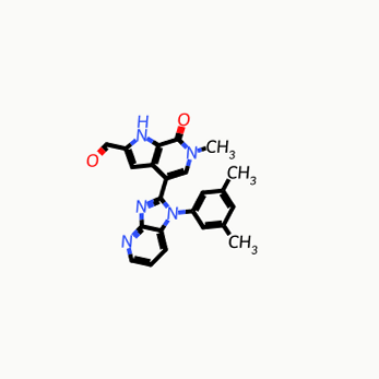 Cc1cc(C)cc(-n2c(-c3cn(C)c(=O)c4[nH]c(C=O)cc34)nc3ncccc32)c1